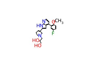 COc1ccc(F)cc1-c1ccnc2[nH]c(C3=CCCN(CC(O)CO)C3)cc12